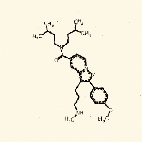 CNCCCc1c(-c2ccc(OC)cc2)nn2ccc(C(=O)N(CCC(C)C)CCC(C)C)cc12